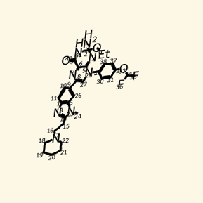 CCOC1(N)N=C2C(=NC(c3ccc4nc(CCN5CCCCC5)n(C)c4c3)=CN2c2ccc(OC(F)F)cc2)C(=O)N1